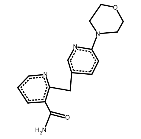 NC(=O)c1cccnc1Cc1ccc(N2CCOCC2)nc1